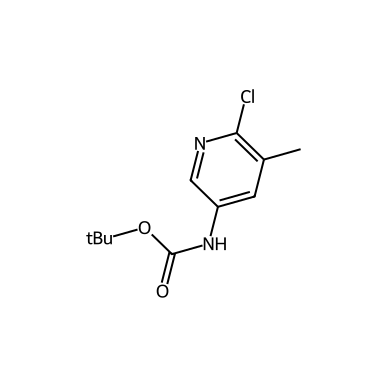 Cc1cc(NC(=O)OC(C)(C)C)cnc1Cl